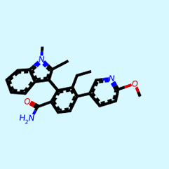 CCc1c(-c2ccc(OC)nc2)ccc(C(N)=O)c1-c1c(C)n(C)c2ccccc12